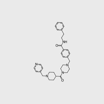 O=C(NCCc1ccccc1)c1ccc(CN2CCN(C(=O)C3CCN(Cc4ccncc4)CC3)CC2)cc1